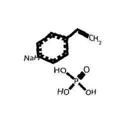 C=Cc1ccccc1.O=P(O)(O)O.[NaH]